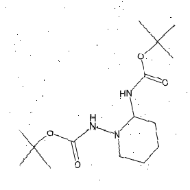 CC(C)(C)OC(=O)NC1CCCCN1NC(=O)OC(C)(C)C